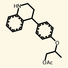 CC(=O)OCC(C)Oc1ccc(C2CCNc3ccccc32)cc1